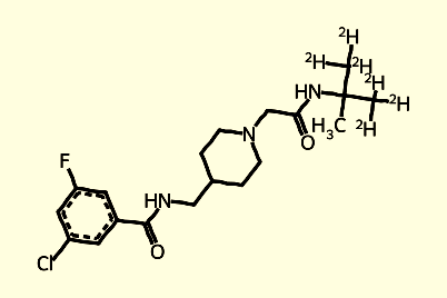 [2H]C([2H])([2H])C(C)(NC(=O)CN1CCC(CNC(=O)c2cc(F)cc(Cl)c2)CC1)C([2H])([2H])[2H]